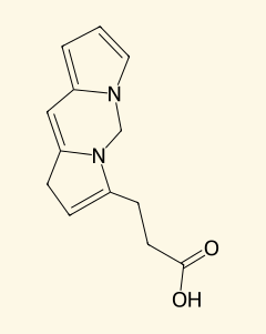 O=C(O)CCC1=CCC2=Cc3cccn3CN21